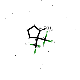 C[C@@H]1CCCC1(C(F)(F)F)C(F)(F)F